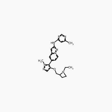 CCN1CCC1COc1cnn(C)c1-c1ccn2nc(Nc3cc(C)ncn3)cc2c1